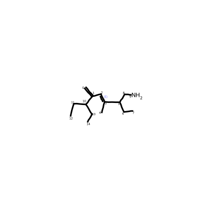 C=C(/C=C(\C)C(CC)CN)C(CC)CC